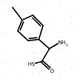 Cc1ccc(C(N)C(=O)S)cc1